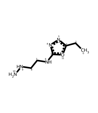 CCc1nnc(NCCNN)o1